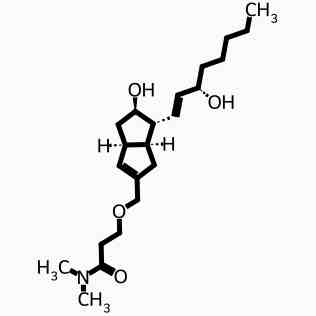 CCCCC[C@H](O)/C=C/[C@@H]1[C@H]2CC(COCCC(=O)N(C)C)=C[C@H]2C[C@H]1O